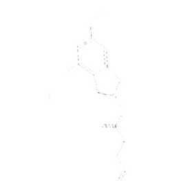 COc1cc(F)c2c(c1)CN(OC(=O)CCC=O)C2.Cl